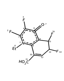 CCn1c(F)c(F)c(=O)c2c1C(C(=O)O)=CC(F)C2F